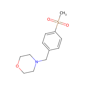 CS(=O)(=O)c1ccc(CN2CCOCC2)cc1